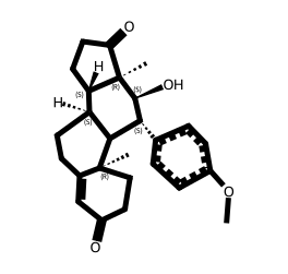 COc1ccc([C@@H]2C3[C@@H](CCC4=CC(=O)CC[C@@]43C)[C@@H]3CCC(=O)[C@@]3(C)[C@H]2O)cc1